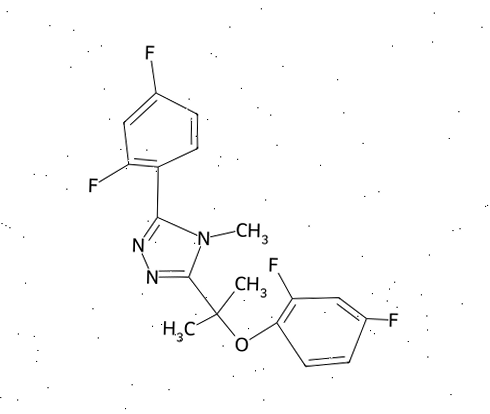 Cn1c(-c2ccc(F)cc2F)nnc1C(C)(C)Oc1ccc(F)cc1F